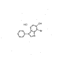 Cl.Oc1ccc2c(ncn2-c2ccccc2)c1Br